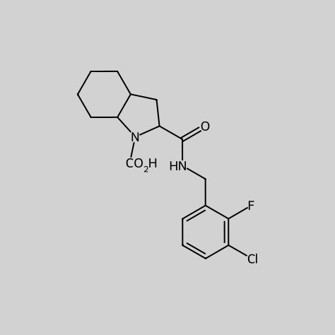 O=C(NCc1cccc(Cl)c1F)C1CC2CCCCC2N1C(=O)O